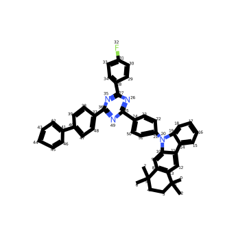 CC1(C)CCC(C)(C)c2cc3c(cc21)c1ccccc1n3-c1ccc(-c2nc(-c3ccc(F)cc3)nc(-c3ccc(-c4ccccc4)cc3)n2)cc1